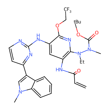 C=CC(=O)Nc1cc(Nc2nccc(-c3cn(C)c4ccccc34)n2)c(OCC(F)(F)F)nc1N(CC)N(C)C(=O)OC(C)(C)C